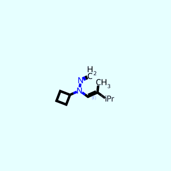 C=NN(/C=C(\C)C(C)C)C1CCC1